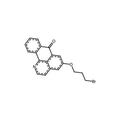 O=C1c2ccccc2-c2nccc3cc(OCCCBr)cc1c23